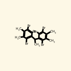 Cc1c(C)c(Br)c(C(C)c2c(Br)c(C)c(C)c(Br)c2Br)c(Br)c1Br